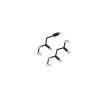 COC(=O)CC#N.COC(=O)CC(C)=O